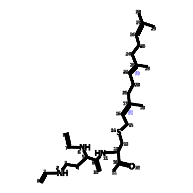 C=CNCCC(NC=C)C(=C)NC(CSC/C=C(\C)CC/C=C(\C)CCC=C(C)C)C(C)=O